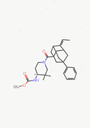 CC=C1C2CC3(C(=O)N4CC[C@H](NC(=O)OC(C)(C)C)C(C)(C)C4)CC1CC(c1ccccc1)(C2)C3